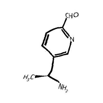 C[C@H](N)c1ccc(C=O)nc1